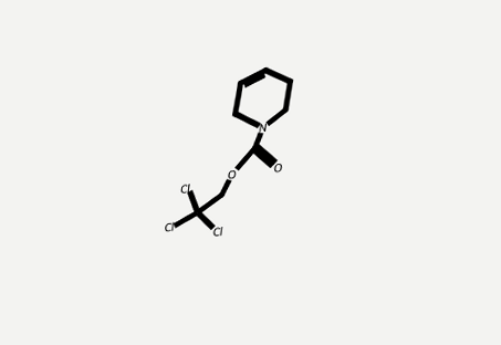 O=C(OCC(Cl)(Cl)Cl)N1CC=CCC1